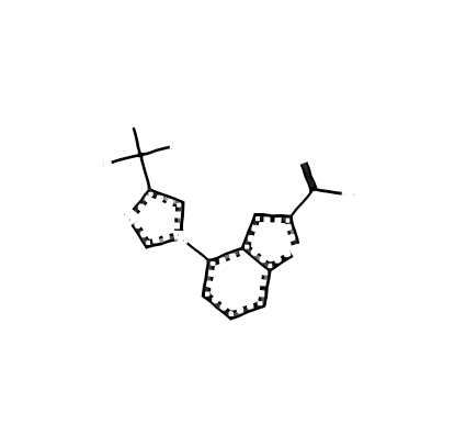 O=C(O)c1cc2c(-n3cnc(C(F)(F)F)c3)cccc2o1